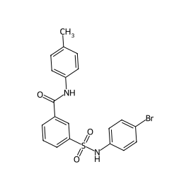 Cc1ccc(NC(=O)c2cccc(S(=O)(=O)Nc3ccc(Br)cc3)c2)cc1